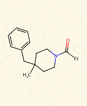 CCC(=O)N1CCC(C)(Cc2ccccc2)CC1